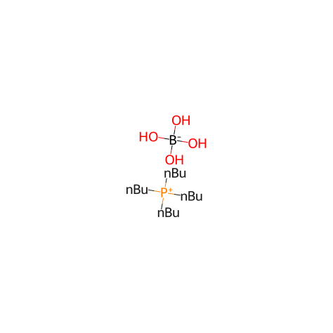 CCCC[P+](CCCC)(CCCC)CCCC.O[B-](O)(O)O